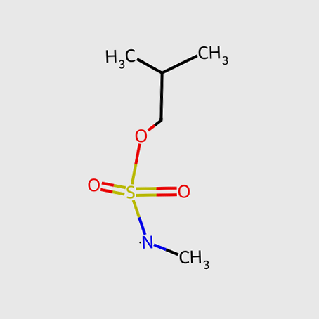 C[N]S(=O)(=O)OCC(C)C